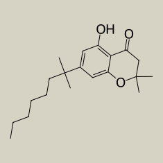 CCCCCCC(C)(C)c1cc(O)c2c(c1)OC(C)(C)CC2=O